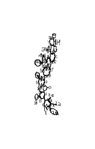 COc1cc(-c2cn(C)c(=O)c(C)c2C)cc(OC)c1CN1CCN(C2CCN(c3cccc(N(C)C4CCC(=O)NC4=O)c3N(C)C=O)CC2)C(=O)C1